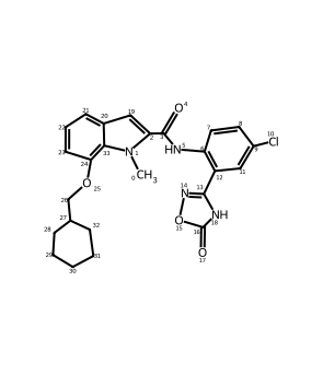 Cn1c(C(=O)Nc2ccc(Cl)cc2-c2noc(=O)[nH]2)cc2cccc(OCC3CCCCC3)c21